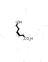 O=C(O)C/C=C\CCO